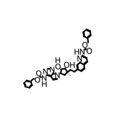 C[C@]1(CCc2ccc3ccc(NC(=O)OCc4ccccc4)nc3c2)C[C@@H](n2ccc3c(NC(=O)OCc4ccccc4)ncnc32)[C@H](O)[C@@H]1O